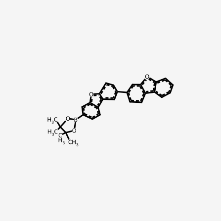 CC1(C)OB(c2ccc3c(c2)oc2ccc(-c4ccc5c(c4)oc4ccccc45)cc23)OC1(C)C